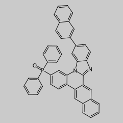 O=P(c1ccccc1)(c1ccccc1)c1ccc2c3cc4ccccc4cc3c3nc4ccc(-c5ccc6ccccc6c5)cc4n3c2c1